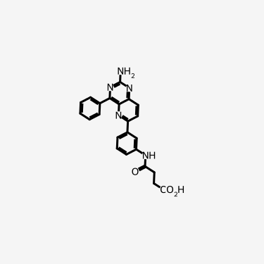 Nc1nc(-c2ccccc2)c2nc(-c3cccc(NC(=O)CCC(=O)O)c3)ccc2n1